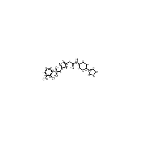 O=C(Cc1nc(CS(=O)(=O)c2cccc(Cl)c2Cl)no1)NC1CCC(N2CCCC2)CC1